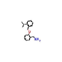 CC(C)c1ccccc1COc1ccccc1CN